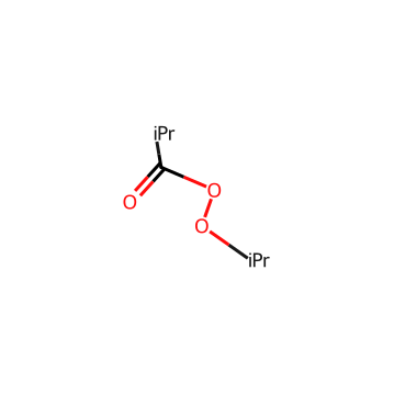 CC(C)OOC(=O)C(C)C